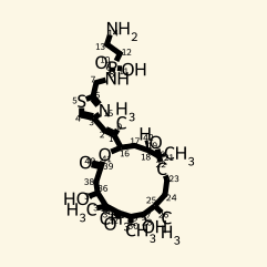 CC(=Cc1csc(CNP(=O)(O)CCN)n1)C1C[C@@H]2O[C@]2(C)CCCC(C)[C@H](O)C(C)C(=O)C(C)(C)C(O)CC(=O)O1